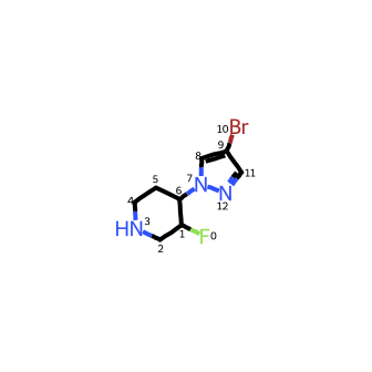 FC1CNCCC1n1cc(Br)cn1